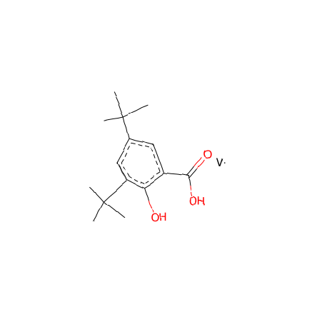 CC(C)(C)c1cc(C(=O)O)c(O)c(C(C)(C)C)c1.[V]